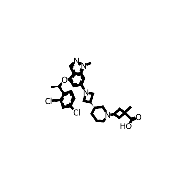 C[C@@H](Oc1cc(N2CC([C@H]3CCCN(C4CC(C)(C(=O)O)C4)C3)C2)cc2c1cnn2C)c1ccc(Cl)cc1Cl